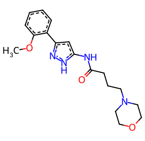 COc1ccccc1-c1cc(NC(=O)CCCN2CCOCC2)[nH]n1